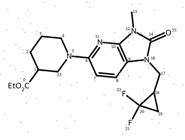 CCOC(=O)C1CCCN(c2ccc3c(n2)n(C)c(=O)n3CC2CC2(F)F)C1